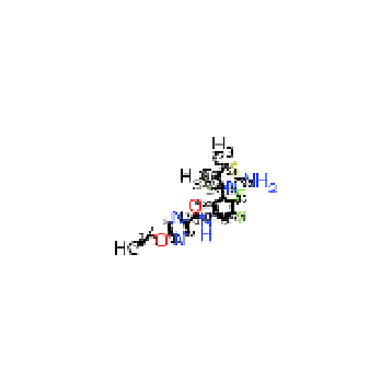 C#CCOc1cnc(C(=O)Nc2cc(F)c(F)c([C@@]3(CF)N=C(N)S[C@@H](C)[C@H]3C)c2)cn1